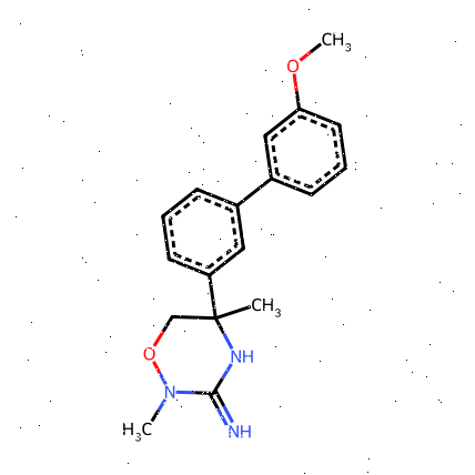 COc1cccc(-c2cccc(C3(C)CON(C)C(=N)N3)c2)c1